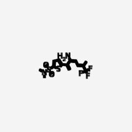 C=C(/C(N)=C\C=C(/C)C(F)(F)F)c1ccc(S(=O)(=O)N(C)C)s1